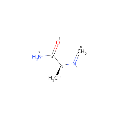 C=N[C@@H](C)C(N)=O